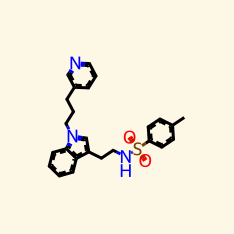 Cc1ccc(S(=O)(=O)NCCc2cn(CCCc3cccnc3)c3ccccc23)cc1